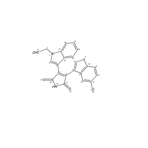 O=CCn1cc(C2=C(c3csc4ccc(Cl)cc34)C(=O)NC2=O)c2ccccc21